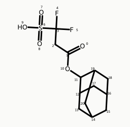 O=C(CC(F)(F)S(=O)(=O)O)OC1C2CC3CC(C2)CC1C3